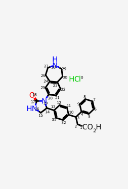 Cl.O=C(O)CC(c1ccccc1)c1ccc(C2CNC(=O)N2c2ccc3c(c2)CCNCC3)cc1